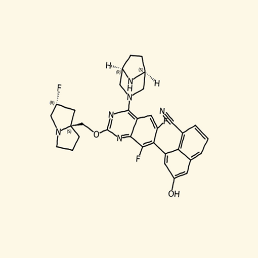 N#Cc1cccc2cc(O)cc(-c3c(F)cc4c(N5C[C@H]6CC[C@@H](C5)N6)nc(OC[C@@]56CCCN5C[C@H](F)C6)nc4c3F)c12